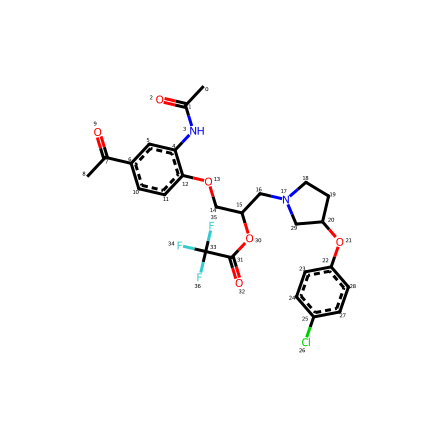 CC(=O)Nc1cc(C(C)=O)ccc1OCC(CN1CCC(Oc2ccc(Cl)cc2)C1)OC(=O)C(F)(F)F